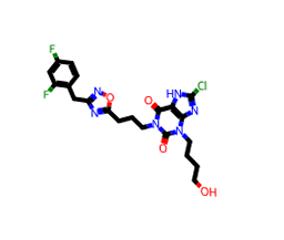 O=c1c2[nH]c(Cl)nc2n(CCCCO)c(=O)n1CCCc1nc(Cc2ccc(F)cc2F)no1